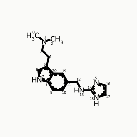 CN(C)CCc1c[nH]c2ccc(CNc3ncc[nH]3)cc12